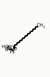 CCCCCCCCCCCCCCCCCCCC(=O)OC(CS(=O)(=O)O)C(F)(F)F